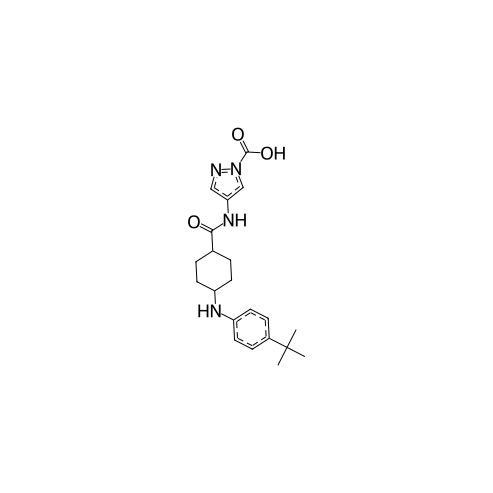 CC(C)(C)c1ccc(NC2CCC(C(=O)Nc3cnn(C(=O)O)c3)CC2)cc1